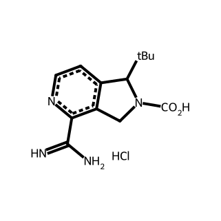 CC(C)(C)C1c2ccnc(C(=N)N)c2CN1C(=O)O.Cl